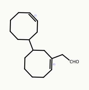 O=CC/C1=C/CCCCC(C2C/C=C\CCCC2)C1